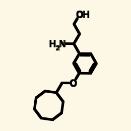 NC(CCO)c1cccc(OCC2CCCCCCC2)c1